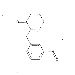 O=Nc1cccc(CC2CCCCC2=O)c1